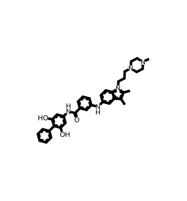 Cc1c(C)n(CCCN2CCN(C)CC2)c2ccc(Nc3cccc(C(=O)Nc4cc(O)c(-c5ccccc5)c(O)c4)c3)cc12